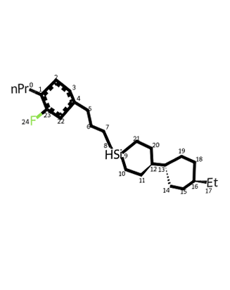 CCCc1ccc(CCCC[Si@H]2CC[C@H]([C@H]3CC[C@H](CC)CC3)CC2)cc1F